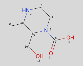 CC1NCCN(C(=O)O)C1CO